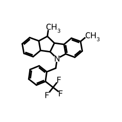 Cc1ccc2c(c1)C1C(C)C3C=CC=CC3C1N2Cc1ccccc1C(F)(F)F